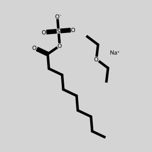 CCCCCCCCC(=O)OS(=O)(=O)[O-].CCOCC.[Na+]